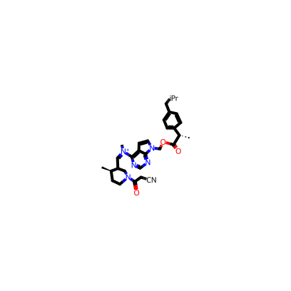 CC(C)Cc1ccc([C@H](C)C(=O)OCn2ccc3c(/[N+](C)=C\C4CN(C(=O)CC#N)CC[C@H]4C)ncnc32)cc1